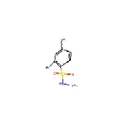 CC(C)c1ccc(S(=O)(=O)NC(C)(C)C)c(C(C)C)c1